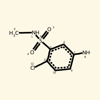 CNS(=O)(=O)c1cc([NH])ccc1Cl